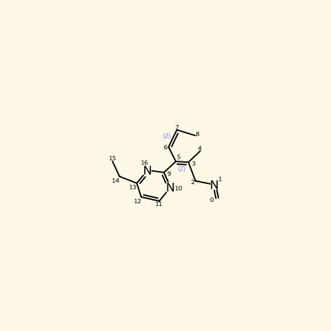 C=NC/C(C)=C(/C=C\C)c1nccc(CC)n1